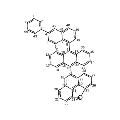 c1ccc(-c2ccc3c(-c4c5ccccc5c(-c5cc6cccc7oc8cccc5c8c67)c5ccccc45)cccc3c2)cc1